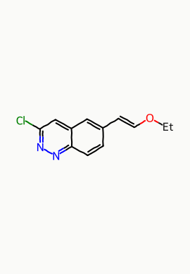 CCO/C=C/c1ccc2nnc(Cl)cc2c1